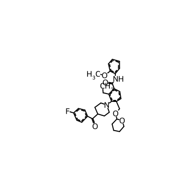 CCc1c(C(=O)Nc2ccccc2OC)ccc(COC2CCCCO2)c1N1CCC(C(=O)c2ccc(F)cc2)CC1